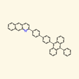 c1ccc(-c2c3ccccc3c(-c3ccc(-c4ccc(-c5ccc6cc7ccccc7cc6n5)cc4)cc3)c3ccccc23)cc1